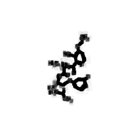 CCOc1ccnc(C(=O)N[C@@H](C)C(=O)O[C@@H](C)[C@@H](CC(C)C)Oc2cccc(F)c2)c1O